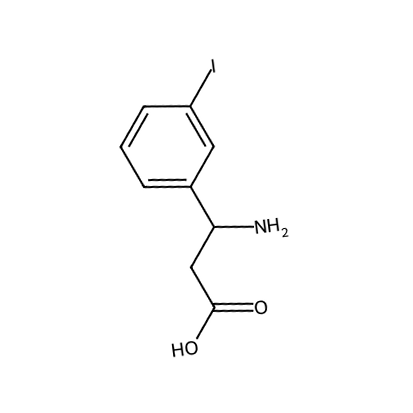 NC(CC(=O)O)c1cccc(I)c1